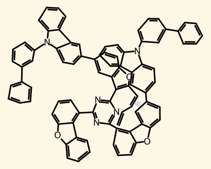 C=C/C=C\c1oc2ccc(-c3ccc4c(c3)c3ccccc3n4-c3cccc(-c4ccccc4)c3)cc2c1-c1nc(-c2cccc3oc4ccccc4c23)nc(-c2cccc3oc4ccc(-c5ccc6c(c5)c5ccccc5n6-c5cccc(-c6ccccc6)c5)cc4c23)n1